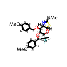 CNC1=N[C@@H]2C(OCc3ccc(OC)cc3)[C@H](OCc3ccc(OC)cc3)[C@@H](C(C)(C)F)O[C@@H]2S1